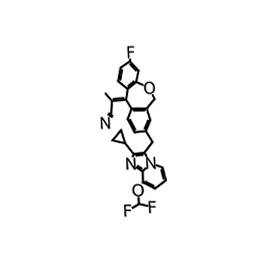 C/C(C#N)=C1/c2ccc(Cc3c(C4CC4)nc4c(OC(F)F)cccn34)cc2COc2cc(F)ccc21